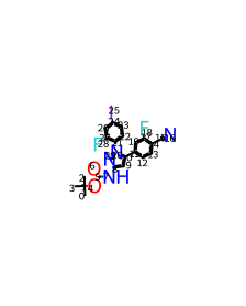 CC(C)(C)OC(=O)Nc1cc(-c2ccc(C#N)c(F)c2)n(-c2ccc(I)cc2F)n1